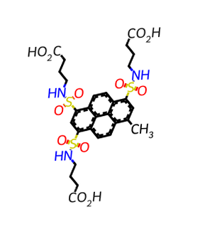 Cc1cc(S(=O)(=O)NCCCC(=O)O)c2ccc3c(S(=O)(=O)NCCCC(=O)O)cc(S(=O)(=O)NCCCC(=O)O)c4ccc1c2c43